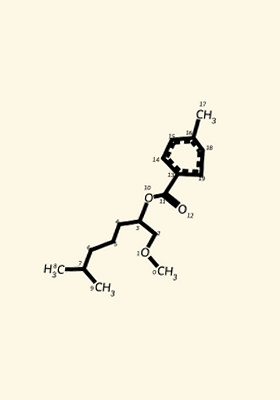 COCC(CCCC(C)C)OC(=O)c1ccc(C)cc1